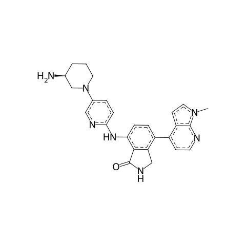 Cn1ccc2c(-c3ccc(Nc4ccc(N5CCC[C@H](N)C5)cn4)c4c3CNC4=O)ccnc21